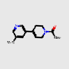 COC(=O)N1CC=C(c2cncc(OC)c2)CC1